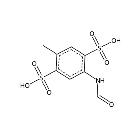 Cc1cc(S(=O)(=O)O)c(NC=O)cc1S(=O)(=O)O